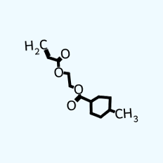 C=CC(=O)OCCOC(=O)C1CCC(C)CC1